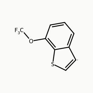 FC(F)(F)Oc1cccc2[c]csc12